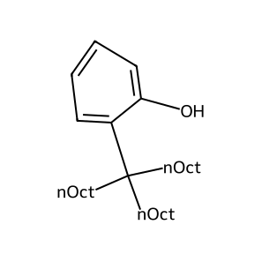 CCCCCCCCC(CCCCCCCC)(CCCCCCCC)c1ccccc1O